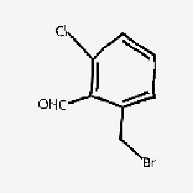 O=Cc1c(Cl)cccc1CBr